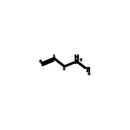 C=CC[NH][Ti]